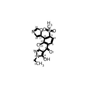 CCn1ncc(C(=O)c2ccc(S(C)(=O)=O)c(-c3cnco3)c2Cl)c1O